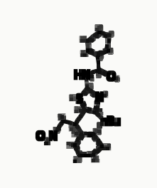 CCCCc1nc(NC(=O)c2ccccc2)sc1C(C[N+](=O)[O-])c1ccccc1